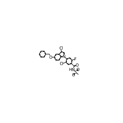 CS(=O)(=O)NC(=O)c1cc(Cl)c(-n2cc(Cl)c3cc(OCc4ccccc4)ccc32)cc1F